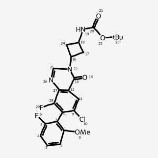 COc1cccc(F)c1-c1c(Cl)cc2c(=O)n(C3CC(NC(=O)OC(C)(C)C)C3)cnc2c1F